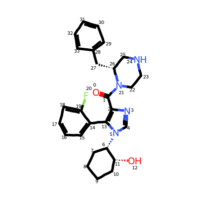 O=C(c1ncn([C@H]2CCCC[C@H]2O)c1-c1ccccc1F)N1CCNC[C@H]1Cc1ccccc1